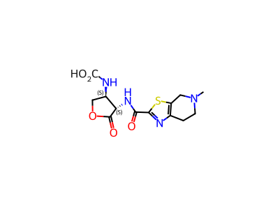 CN1CCc2nc(C(=O)N[C@@H]3C(=O)OC[C@H]3NC(=O)O)sc2C1